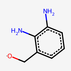 Nc1cccc(C[O])c1N